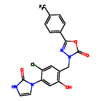 O=c1[nH]ccn1-c1cc(O)c(Cn2nc(-c3ccc(C(F)(F)F)cc3)oc2=O)cc1Cl